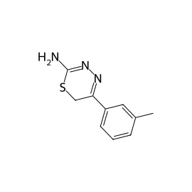 Cc1cccc(C2=NN=C(N)SC2)c1